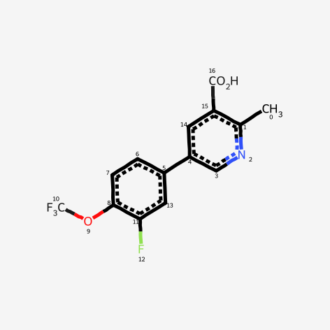 Cc1ncc(-c2ccc(OC(F)(F)F)c(F)c2)cc1C(=O)O